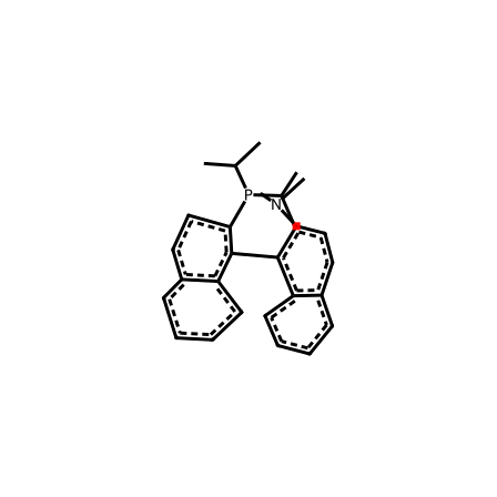 CC(C)P(c1ccc2ccccc2c1-c1c(N(C)C)ccc2ccccc12)C(C)C